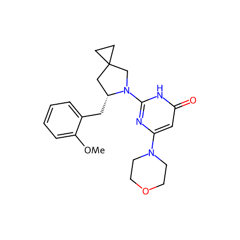 COc1ccccc1C[C@@H]1CC2(CC2)CN1c1nc(N2CCOCC2)cc(=O)[nH]1